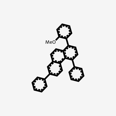 COc1ccccc1-c1ccc(-c2ccccc2)c2c1ccc1cc(-c3ccccc3)ccc12